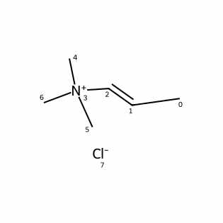 CC=C[N+](C)(C)C.[Cl-]